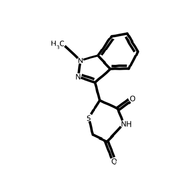 Cn1nc(C2SCC(=O)NC2=O)c2ccccc21